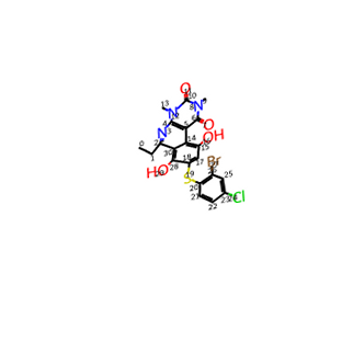 CCc1nc2c(c(=O)n(C)c(=O)n2C)c2c(O)cc(Sc3ccc(Cl)cc3Br)c(O)c12